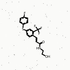 O=C(/C=C/c1ccc(Sc2ccc(F)cc2)cc1C(F)(F)F)NCCO